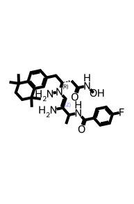 CC(NC(=O)c1ccc(F)cc1)/C(N)=C/N(N)[C@@H](CC(=O)NO)Cc1ccc2c(c1)C(C)(C)CCC2(C)C